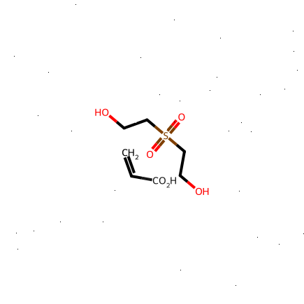 C=CC(=O)O.O=S(=O)(CCO)CCO